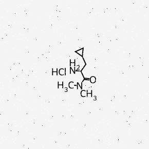 CN(C)C(=O)[C@@H](N)CC1CC1.Cl